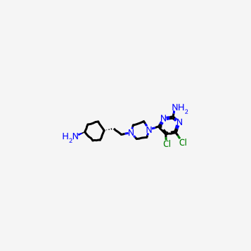 Nc1nc(Cl)c(Cl)c(N2CCN(CC[C@H]3CC[C@H](N)CC3)CC2)n1